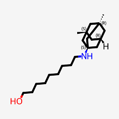 C[C@]12C[C@@H]3C[C@](C)(C1)C[C@](NCCCCCCCCCO)(C3)C2